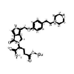 CC(C)(C)OC(=O)CCC(C(N)=O)N1Cc2c(csc2COc2ccc(CCN3CCOCC3)cc2)C1=O